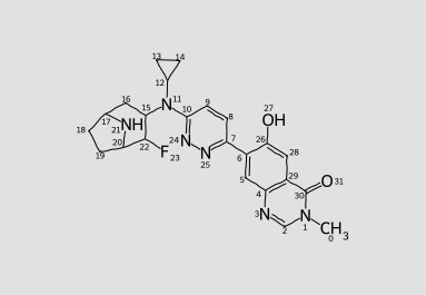 Cn1cnc2cc(-c3ccc(N(C4CC4)C4CC5CCC(N5)C4F)nn3)c(O)cc2c1=O